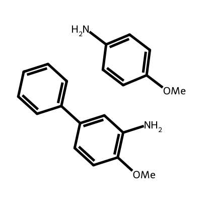 COc1ccc(-c2ccccc2)cc1N.COc1ccc(N)cc1